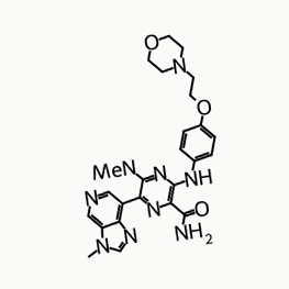 CNc1nc(Nc2ccc(OCCN3CCOCC3)cc2)c(C(N)=O)nc1-c1cncc2c1ncn2C